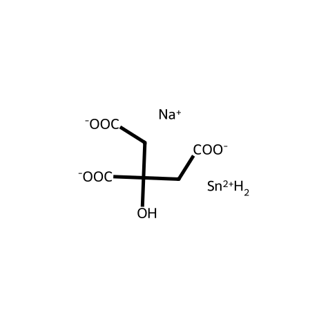 O=C([O-])CC(O)(CC(=O)[O-])C(=O)[O-].[Na+].[SnH2+2]